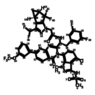 Cn1nc(NS(C)(=O)=O)c2c(Cl)ccc(-n3c([C@H](Cc4cc(F)cc(F)c4)NC(=O)Cn4nc(C(F)F)c5c4C(F)(F)[C@@H]4C[C@H]54)nc4nc(-c5cccc(OC(F)(F)F)c5)ccc4c3=O)c21